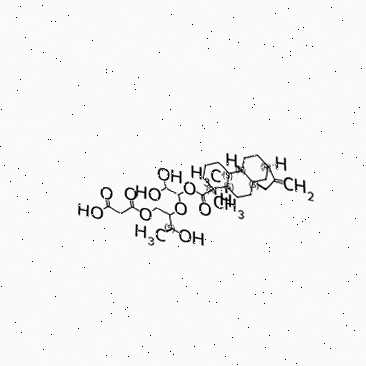 C=C1C[C@@]23CC[C@H]4[C@@](C)(CCC[C@@]4(C)C(=O)OC(OC(COC(=O)CC(=O)O)[C@H](C)O)C(O)O)[C@@H]2CC[C@@H]1C3